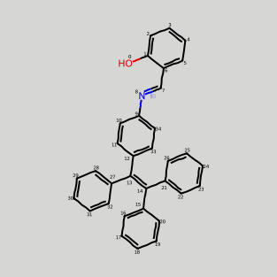 Oc1ccccc1/C=N/c1ccc(C(=C(c2ccccc2)c2ccccc2)c2ccccc2)cc1